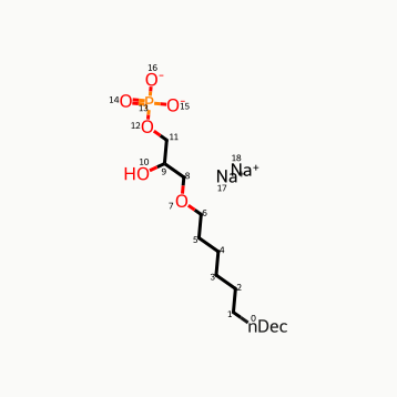 CCCCCCCCCCCCCCCCOCC(O)COP(=O)([O-])[O-].[Na+].[Na+]